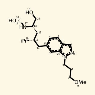 COCCCn1ncc2ccc(C[C@@H](C[C@@H](CO)NC(=O)O)C(C)C)cc21